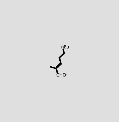 CCCCCCC=C(C)[C]=O